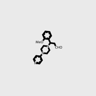 COc1ccccc1C(CC=O)N1CCN(c2ccncc2)CC1